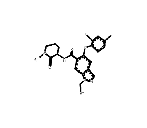 CC(C)Cn1ncc2cc(Oc3ccc(F)cc3F)c(C(=O)NC3CCCN(C)C3=O)cc21